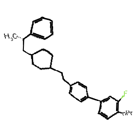 CCCc1ccc(-c2ccc(CCC3CCC(C[C@H](C)c4ccccc4)CC3)cc2)cc1F